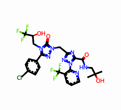 CC(C)(O)CNC(=O)c1nc(Cn2nc(-c3ccc(Cl)cc3)n(C[C@H](O)C(F)(F)F)c2=O)nn1-c1ncccc1C(F)(F)F